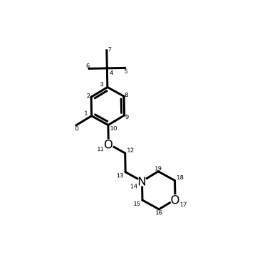 Cc1cc(C(C)(C)C)ccc1OCCN1CCOCC1